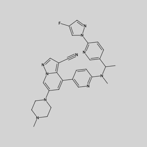 CC(c1ccc(-n2cc(F)cn2)nc1)N(C)c1ccc(-c2cc(N3CCN(C)CC3)cn3ncc(C#N)c23)cn1